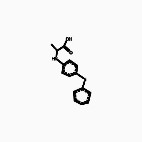 CC(Nc1ccc(Sc2ccccc2)cc1)C(=O)O